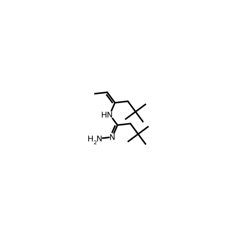 C/C=C(/CC(C)(C)C)N/C(CC(C)(C)C)=N\N